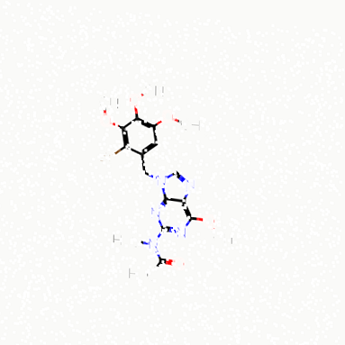 COc1cc(Cn2cnc3c(OC)nc(N(C)C(C)=O)nc32)c(Br)c(OC)c1OC